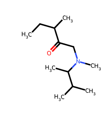 CCC(C)C(=O)CN(C)C(C)C(C)C